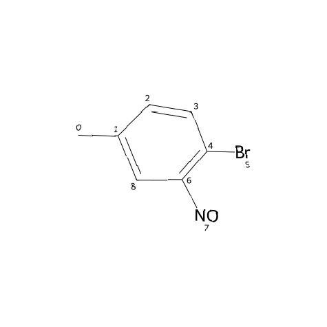 Cc1ccc(Br)c(N=O)c1